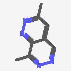 Cc1cc2cnnc(C)c2nn1